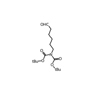 CC(C)(C)OC(=O)N(CCCCCC=O)C(=O)OC(C)(C)C